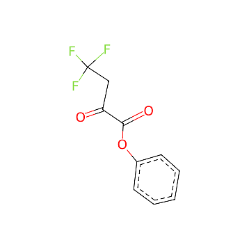 O=C(CC(F)(F)F)C(=O)Oc1ccccc1